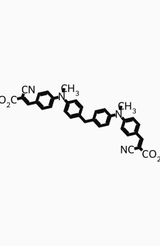 CCOC(=O)/C(C#N)=C/c1ccc(N(C)c2ccc(Cc3ccc(N(C)c4ccc(/C=C(\C#N)C(=O)OCC)cc4)cc3)cc2)cc1